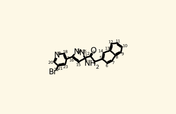 NC1(C(=O)Cc2ccc3ccccc3c2)C=C(c2cncc(Br)c2)N=N1